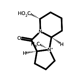 C[N@+]12CCC[C@H]1C(=O)N1[C@H]2CCC[C@H]1C(=O)O